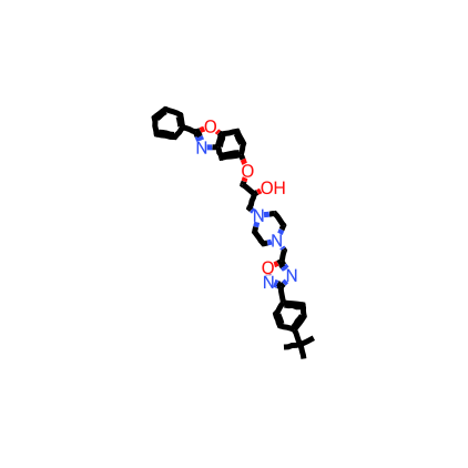 CC(C)(C)c1ccc(-c2noc(CN3CCN(CC(O)COc4ccc5oc(-c6ccccc6)nc5c4)CC3)n2)cc1